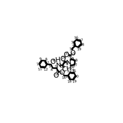 C[C@H](NC(CC(=O)c1ccccc1)C(=O)OCc1ccccc1)C(=O)N1CCC[C@H]1C(=O)OCc1ccccc1